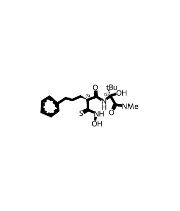 CNC(=O)[C@](O)(NC(=O)[C@H](CCCc1ccccc1)C(=S)NO)C(C)(C)C